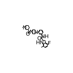 Cc1ccc(F)c2c1NC(C(=O)Nc1cccc(N3CCN(C(=O)C4CCCN(C)C4)CC3)c1)C2